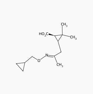 CC(CC1[C@@H](C(=O)O)C1(C)C)=NOCC1CC1